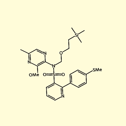 COc1nc(C)cnc1N(COCC[Si](C)(C)C)S(=O)(=O)c1cccnc1-c1ccc(SC)cc1